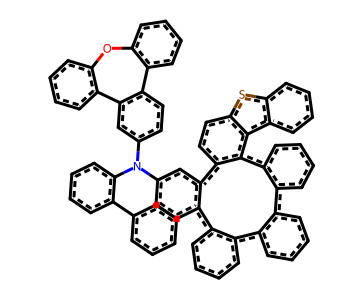 c1ccc(-c2ccccc2N(c2ccc3c(c2)-c2ccccc2Oc2ccccc2-3)c2ccc3c4ccccc4c4ccccc4c4ccccc4c4c(ccc5sc6ccccc6c54)c3c2)cc1